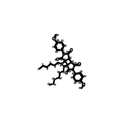 CCCCCCSC12C(=O)N(c3ccc(OC)cc3)C(=O)C1C1C(=O)N(c3ccc(OC)cc3)C(=O)C12SCCCCCC